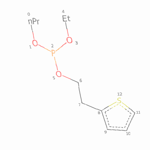 CCCOP(OCC)OCCc1cccs1